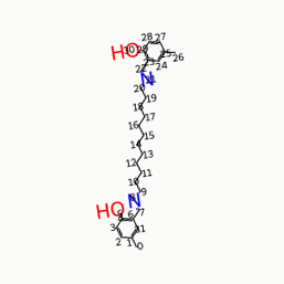 Cc1ccc(O)c(/C=N/CCCCCCCCCCCC/N=C/c2cc(C)ccc2O)c1